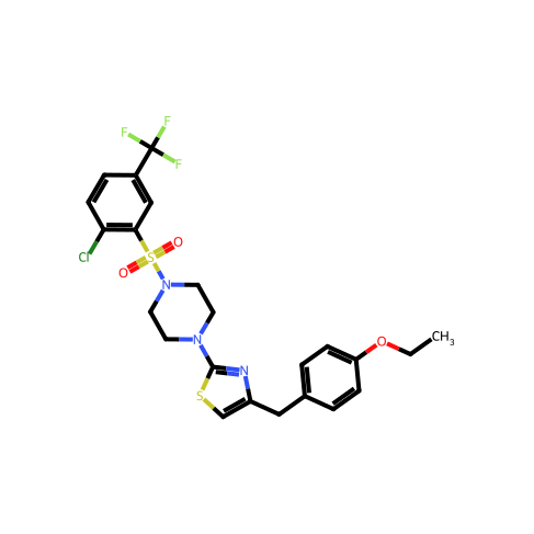 CCOc1ccc(Cc2csc(N3CCN(S(=O)(=O)c4cc(C(F)(F)F)ccc4Cl)CC3)n2)cc1